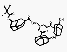 CC(F)(F)C(=O)OC1C2CC3CC1CC(C(=O)OCC(COC(=O)C14CC5CC(CC(O)(C5)C1)C4)OC(=O)C14CC5CC(CC(O)(C5)C1)C4)(C3)C2